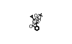 CC(C)(C)OC(=O)N[C@@H](CN1C(=O)c2ccccc2C1=O)C1CC1